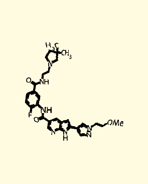 COCCn1cc(-c2cc3cc(C(=O)Nc4cc(C(=O)NCCN5CCC(C)(C)C5)ccc4F)cnc3[nH]2)cn1